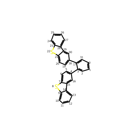 c1ccc(-c2ccc3sc4ccccc4c3c2)c(-c2ccc3sc4ccccc4c3c2)c1